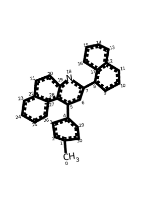 Cc1ccc(-c2cc(-c3cccc4ccccc34)nc3ccc4ccccc4c23)cc1